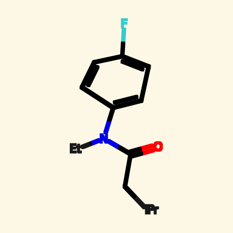 CCN(C(=O)CC(C)C)c1ccc(F)cc1